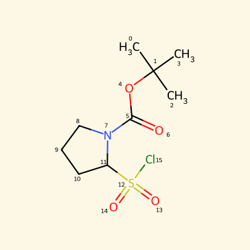 CC(C)(C)OC(=O)N1CCCC1S(=O)(=O)Cl